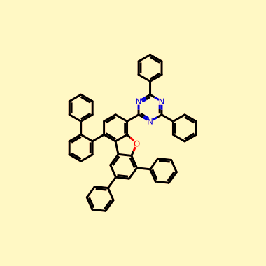 c1ccc(-c2cc(-c3ccccc3)c3oc4c(-c5nc(-c6ccccc6)nc(-c6ccccc6)n5)ccc(-c5ccccc5-c5ccccc5)c4c3c2)cc1